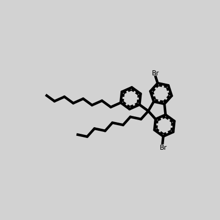 CCCCCCCCc1cccc(C2(CCCCCCCC)c3cc(Br)ccc3-c3ccc(Br)cc32)c1